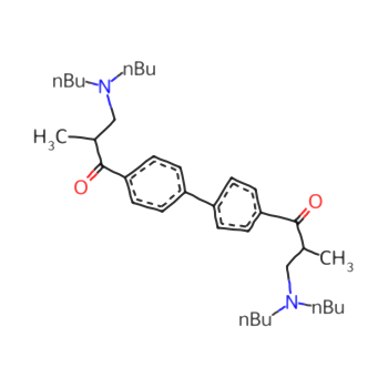 CCCCN(CCCC)CC(C)C(=O)c1ccc(-c2ccc(C(=O)C(C)CN(CCCC)CCCC)cc2)cc1